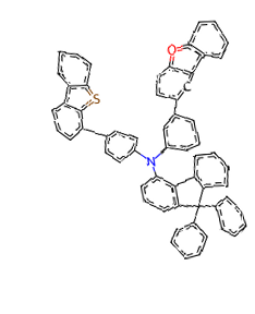 c1ccc(C2(c3ccccc3)c3ccccc3-c3c(N(c4ccc(-c5cccc6c5sc5ccccc56)cc4)c4cccc(-c5ccc6oc7ccccc7c6c5)c4)cccc32)cc1